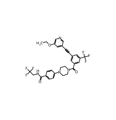 CCOc1cncc(C#Cc2cc(C(=O)N3CCN(c4ccc(C(=O)NCC(F)(F)F)cc4)CC3)cc(C(F)(F)F)c2)c1